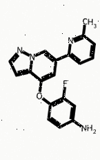 Cc1cccc(-c2cc(Oc3ccc(N)cc3F)c3ccnn3c2)n1